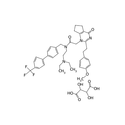 CCN(CC)CCN(Cc1ccc(-c2ccc(C(F)(F)F)cc2)cc1)C(=O)Cn1c(CCc2ccc(OC)cc2)nc(=O)c2c1CCC2.O=C(O)C(O)C(O)C(=O)O